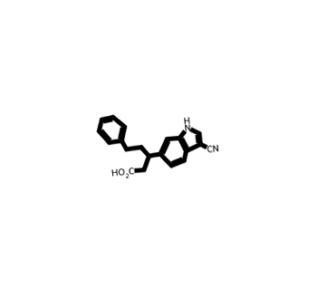 N#Cc1c[nH]c2cc(C(CCc3ccccc3)CC(=O)O)ccc12